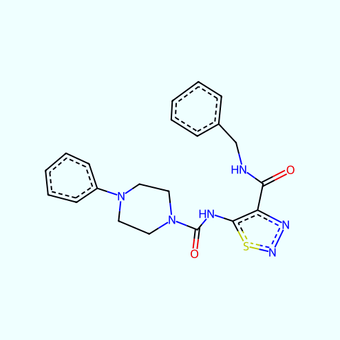 O=C(NCc1ccccc1)c1nnsc1NC(=O)N1CCN(c2ccccc2)CC1